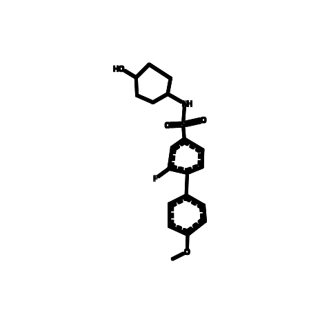 COc1ccc(-c2ccc(S(=O)(=O)NC3CCC(O)CC3)cc2F)cc1